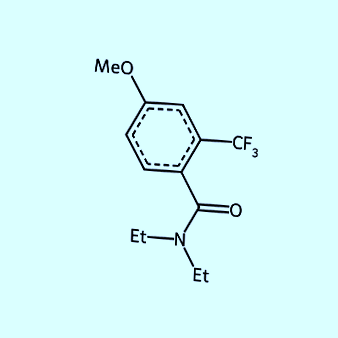 CCN(CC)C(=O)c1ccc(OC)cc1C(F)(F)F